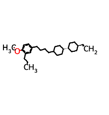 C=C[C@H]1CC[C@H](C2CCC(CCCCc3ccc(OC)c(CCC)c3)CC2)CC1